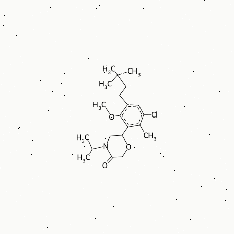 COc1c(CCC(C)(C)C)cc(Cl)c(C)c1C1CN(C(C)C)C(=O)CO1